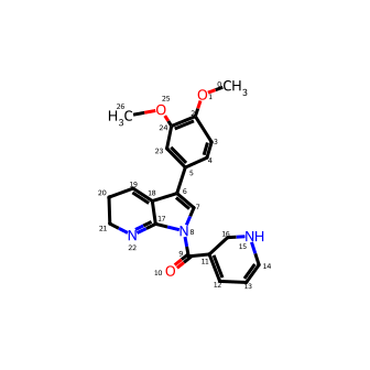 COc1ccc(-c2cn(C(=O)C3=CC=CNC3)c3c2=CCCN=3)cc1OC